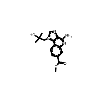 COC(=O)c1ccc2c(c1)nc(N)c1ncn(CC(C)(C)O)c12